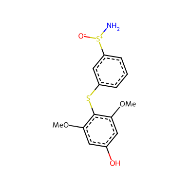 COc1cc(O)cc(OC)c1Sc1cccc([S+](N)[O-])c1